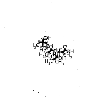 CC(C)(C)C(=O)O.CC(C)(C)C(=O)O.CC(C)(C)C(=O)O.CCC(CO)(CO)CO